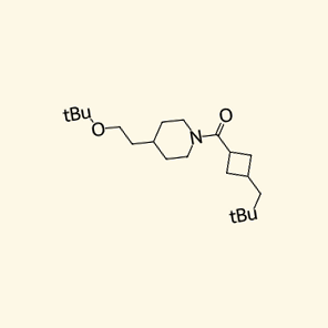 CC(C)(C)CC1CC(C(=O)N2CCC(CCOC(C)(C)C)CC2)C1